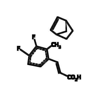 C1=CC2CCC1C2.Cc1c(C=CC(=O)O)ccc(F)c1F